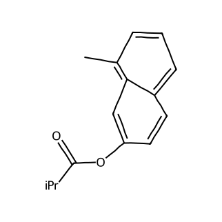 Cc1cccc2ccc(OC(=O)C(C)C)cc12